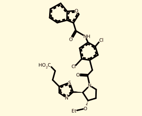 CCO[C@H]1CCN(C(=O)Cc2cc(Cl)c(NC(=O)c3coc4ccccc34)cc2Cl)[C@@H]1c1ncc(CCC(=O)O)s1